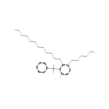 CCCCCCCCCCCCc1c(CCCCCC)ccc(O)c1C(C)(C)c1ccccc1